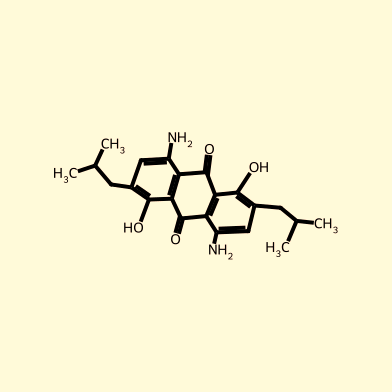 CC(C)Cc1cc(N)c2c(c1O)C(=O)c1c(N)cc(CC(C)C)c(O)c1C2=O